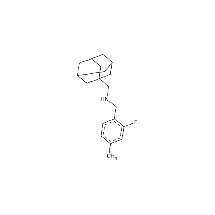 Cc1ccc(CNCC23CC4CC(CC(C4)C2)C3)c(F)c1